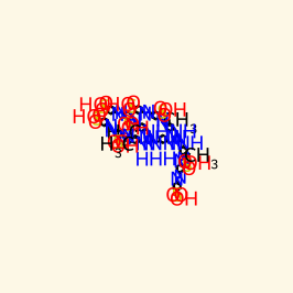 Cc1cc(Nc2nc(Nc3cccc(Nc4nc(Nc5ccc(N=Nc6ccc(N=Nc7ccc(S(=O)(=O)O)cc7)cc6S(=O)(=O)O)c(C)c5)nc(Nc5ccc(N=Nc6ccc(N=Nc7ccc(S(=O)(=O)O)cc7)cc6S(=O)(=O)O)c(C)c5)n4)c3)nc(Nc3ccc(N=Nc4ccc(N=Nc5ccc(S(=O)(=O)O)cc5)cc4S(=O)(=O)O)c(C)c3)n2)ccc1N=Nc1ccc(N=Nc2ccc(S(=O)(=O)O)cc2)cc1S(=O)(=O)O